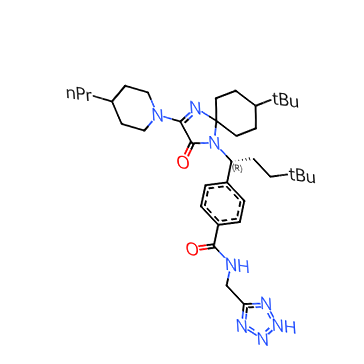 CCCC1CCN(C2=NC3(CCC(C(C)(C)C)CC3)N([C@H](CCC(C)(C)C)c3ccc(C(=O)NCc4nn[nH]n4)cc3)C2=O)CC1